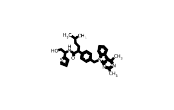 Cc1nc(C)c2c3ccccc3n(Cc3ccc(C(CCC(C)C)C(=O)NC(CO)c4cccs4)cc3)c2n1